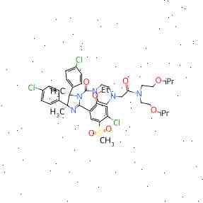 CCOc1cc(Cl)c(S(C)(=O)=O)cc1C1=N[C@@](C)(c2ccc(Cl)cc2)[C@@](C)(c2ccc(Cl)cc2)N1C(=O)N1CCN(CC(=O)N(CCOC(C)C)CCOC(C)C)CC1